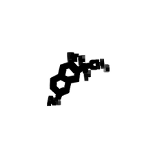 CC(=O)c1ccc2cc(Br)c(C(C)(F)F)cc2c1